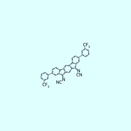 N#C/N=c1/c2cc(-c3cccc(C(F)(F)F)c3)ccc2c2cc3c(cc12)/c(=N/C#N)c1cc(-c2cccc(C(F)(F)F)c2)ccc13